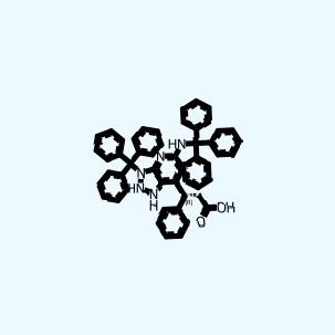 O=C(O)C[C@H](c1ccccc1)c1cc(NC(c2ccccc2)(c2ccccc2)c2ccccc2)nc2c1NNN2C(c1ccccc1)(c1ccccc1)c1ccccc1